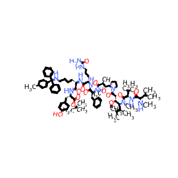 CC[C@H](C)[C@@H]([C@@H](CC(=O)N1CCC[C@H]1[C@H](OC)[C@@H](C)C(=O)N[C@@H](Cc1ccccc1)C(=O)N[C@@H](CCCNC(N)=O)C(=O)N[C@@H](CCCCNC(c1ccccc1)(c1ccccc1)c1ccc(C)cc1)C(=O)N[C@@H](Cc1ccc(O)cc1)C(=O)OC(C)(C)C)OC)N(C)C(=O)[C@@H](NC(=O)[C@@H](NC)C(C)C)C(C)C